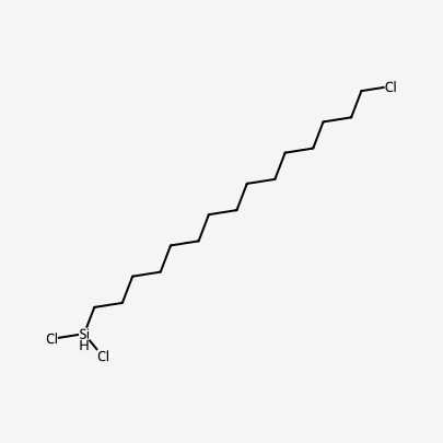 ClCCCCCCCCCCCCCCC[SiH](Cl)Cl